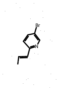 C/C=C/c1ccc(Br)cn1